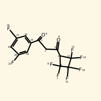 O=C(CC(=O)C1C(F)(F)C(F)(F)C1(F)F)c1cc(F)cc(F)c1